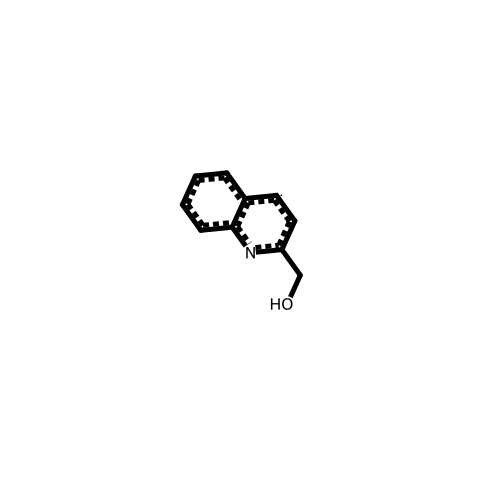 OCc1c[c]c2ccccc2n1